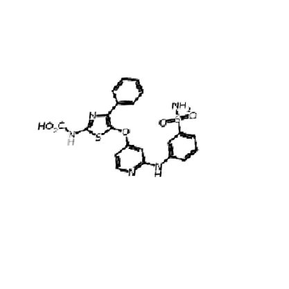 NS(=O)(=O)c1cccc(Nc2cc(Oc3sc(NC(=O)O)nc3-c3ccccc3)ccn2)c1